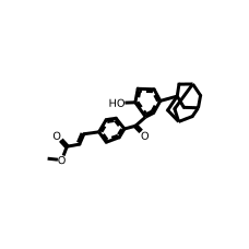 COC(=O)/C=C/c1ccc(C(=O)c2cc(C34CC5CC(CC(C5)C3)C4)ccc2O)cc1